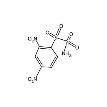 NS(=O)(=O)S(=O)(=O)c1ccc([N+](=O)[O-])cc1[N+](=O)[O-]